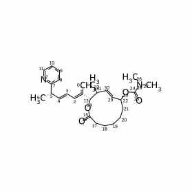 C/C(=C\C=C\[C@H](C)c1ccccn1)[C@H]1OC(=O)CCCCC[C@H](OC(=O)N(C)C)/C=C/[C@@H]1C